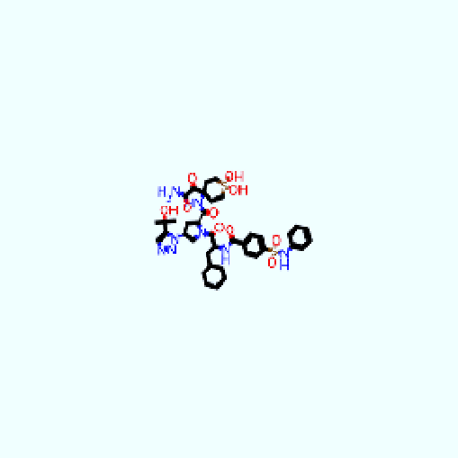 CC(C)(O)c1cnnn1[C@H]1C[C@@H](C(=O)NC2(C(=O)C(N)=O)CCS(O)(O)CC2)N(C(=O)C(CC2CCCCC2)NC(=O)c2ccc(S(=O)(=O)Nc3ccccc3)cc2)C1